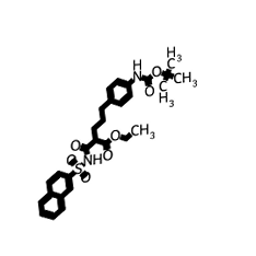 CCOC(=O)C(CCCc1ccc(NC(=O)OC(C)(C)C)cc1)C(=O)NS(=O)(=O)c1ccc2ccccc2c1